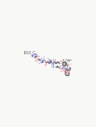 C=CCOC(=O)N1c2cc(OCCCC(=O)Nc3cc(C(=O)Nc4cn(C)c(C(=O)Oc5cn(C)c(C(=O)OCC)n5)n4)n(C)c3)c(OC)cc2C(=O)N2CCC[C@H]2C1OC1CCCCO1